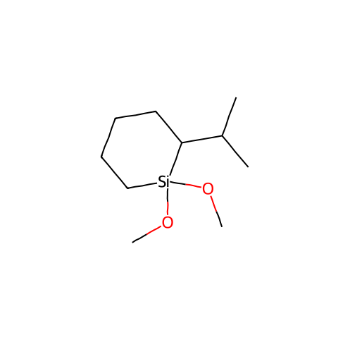 CO[Si]1(OC)CCCCC1C(C)C